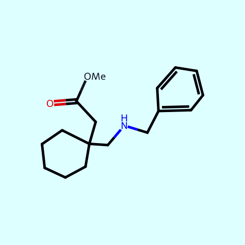 COC(=O)CC1(CNCc2ccccc2)CCCCC1